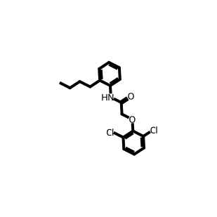 CCCCc1ccccc1NC(=O)COc1c(Cl)cccc1Cl